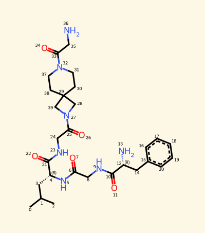 CC(C)C[C@@H](NC(=O)CNC(=O)[C@H](N)Cc1ccccc1)C(=O)NCC(=O)N1CC2(CCN(C(=O)CN)CC2)C1